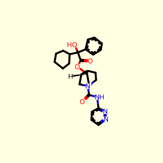 O=C(O[C@H]1C[N+]2(C(=O)Nc3cccnn3)CCC1CC2)C(O)(c1ccccc1)C1CCCCC1